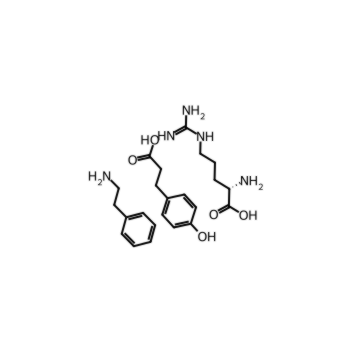 N=C(N)NCCC[C@H](N)C(=O)O.NCCc1ccccc1.O=C(O)CCc1ccc(O)cc1